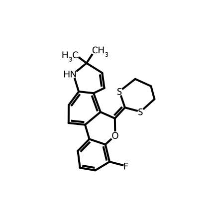 CC1(C)C=Cc2c(ccc3c2C(=C2SCCCS2)Oc2c(F)cccc2-3)N1